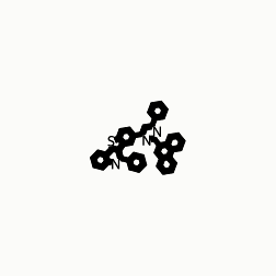 c1ccc(-c2cc(-c3ccc4sc5c6ccccc6nc(-c6ccccc6)c5c4c3)nc(-c3cc4ccccc4c4ccccc34)n2)cc1